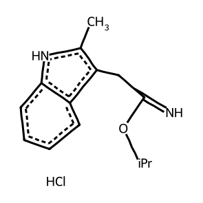 Cc1[nH]c2ccccc2c1CC(=N)OC(C)C.Cl